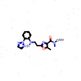 CCN(CCc1nc(C(=O)N(C)OC)c(C)o1)c1ccccc1-n1nccn1